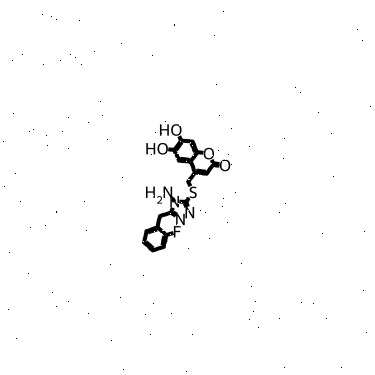 Nn1c(Cc2ccccc2F)nnc1SCc1cc(=O)oc2cc(O)c(O)cc12